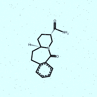 NC(=O)[C@H]1CC[C@@H]2CCc3ccccc3C(=O)N2C1